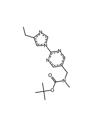 CCc1cn(-c2ncc(CN(C)C(=O)OC(C)(C)C)cn2)cn1